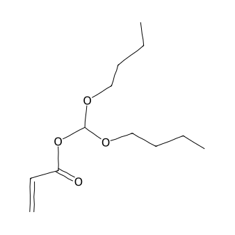 C=CC(=O)OC(OCCCC)OCCCC